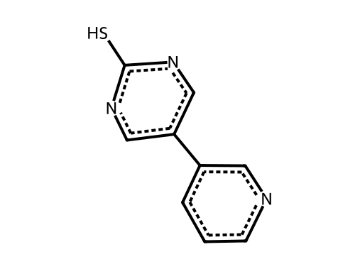 Sc1ncc(-c2cccnc2)cn1